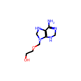 NC1=NCNC2=C1NCN2COCCO